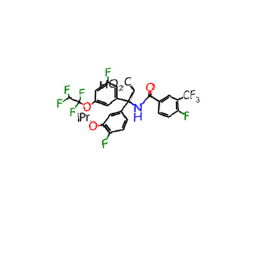 CC(C)Oc1cc(C(CC(=O)O)(NC(=O)c2ccc(F)c(C(F)(F)F)c2)c2cc(F)cc(OC(F)(F)C(F)F)c2)ccc1F